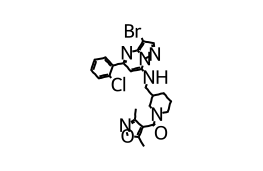 Cc1noc(C)c1C(=O)N1CCCC(CNc2cc(-c3ccccc3Cl)nc3c(Br)cnn23)C1